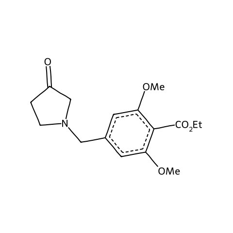 CCOC(=O)c1c(OC)cc(CN2CCC(=O)C2)cc1OC